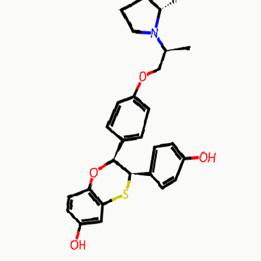 C[C@H]1CCCN1[C@@H](C)COc1ccc([C@@H]2Oc3ccc(O)cc3S[C@@H]2c2ccc(O)cc2)cc1